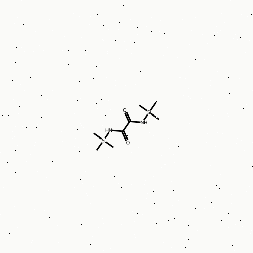 C[Si](C)(C)NC(=O)C(=O)N[Si](C)(C)C